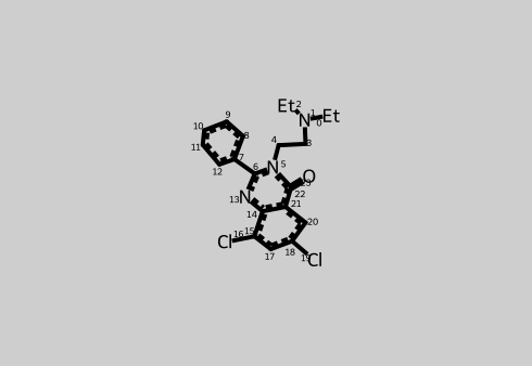 CCN(CC)CCn1c(-c2ccccc2)nc2c(Cl)cc(Cl)cc2c1=O